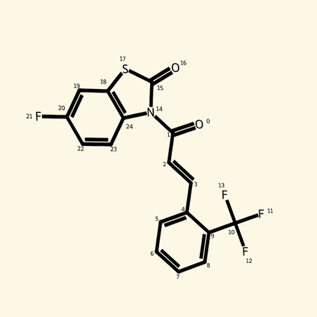 O=C(C=Cc1ccccc1C(F)(F)F)n1c(=O)sc2cc(F)ccc21